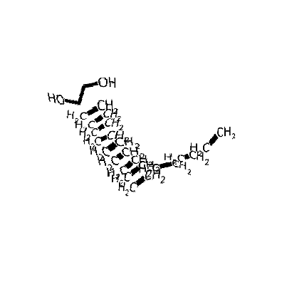 C=C.C=C.C=C.C=C.C=C.C=C.C=C.C=C.C=C.C=C.C=C.C=C.OCCO